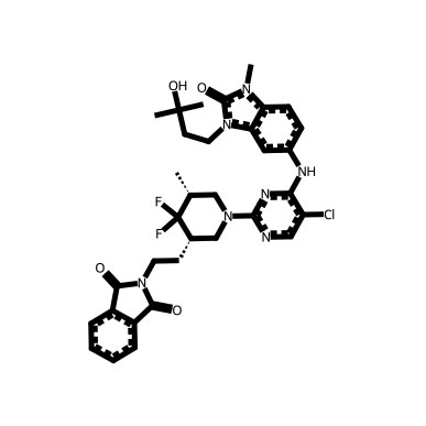 C[C@@H]1CN(c2ncc(Cl)c(Nc3ccc4c(c3)n(CCC(C)(C)O)c(=O)n4C)n2)C[C@H](CCN2C(=O)c3ccccc3C2=O)C1(F)F